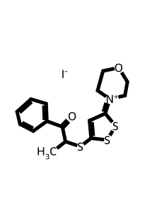 CC(Sc1cc(=[N+]2CCOCC2)ss1)C(=O)c1ccccc1.[I-]